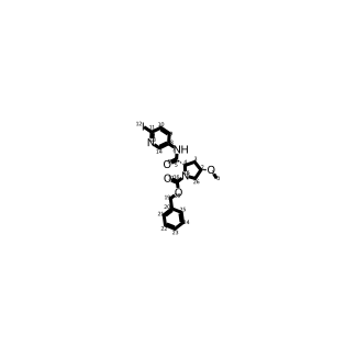 CO[C@H]1C[C@@H](C(=O)Nc2ccc(I)nc2)N(C(=O)OCc2ccccc2)C1